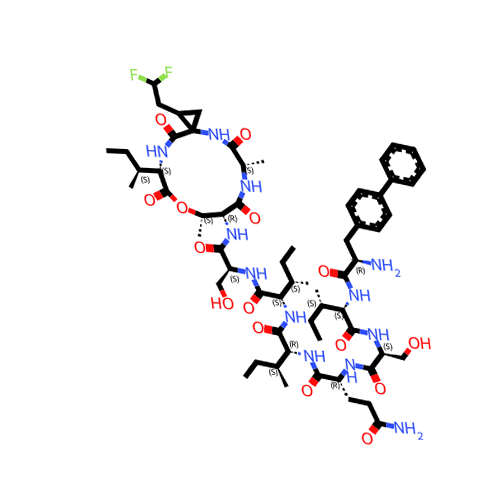 CC[C@H](C)[C@H](NC(=O)[C@H](N)Cc1ccc(-c2ccccc2)cc1)C(=O)N[C@@H](CO)C(=O)N[C@H](CCC(N)=O)C(=O)N[C@@H](C(=O)N[C@H](C(=O)N[C@@H](CO)C(=O)N[C@H]1C(=O)N[C@@H](C)C(=O)NC2(CC2CC(F)F)C(=O)N[C@@H]([C@@H](C)CC)C(=O)O[C@H]1C)[C@@H](C)CC)[C@@H](C)CC